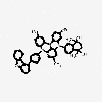 Cc1cc2c3c(c1)N(c1ccc4c(c1)C(C)(C)CCC4(C)C)c1cc(C(C)(C)C)ccc1B3c1cc(C(C)(C)C)ccc1N2c1ccc(-c2cccc3oc4ccccc4c23)cc1